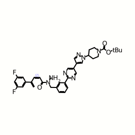 C=C(/C=C\C(=O)N(N)Cc1cccc(-c2ncc(-c3cnn(C4CCN(C(=O)OC(C)(C)C)CC4)c3)cn2)c1)c1cc(F)cc(F)c1